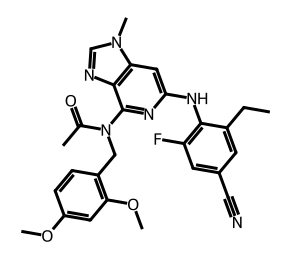 CCc1cc(C#N)cc(F)c1Nc1cc2c(ncn2C)c(N(Cc2ccc(OC)cc2OC)C(C)=O)n1